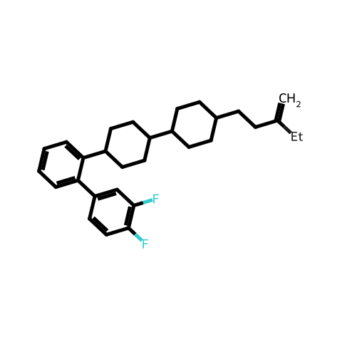 C=C(CC)CCC1CCC(C2CCC(c3ccccc3-c3ccc(F)c(F)c3)CC2)CC1